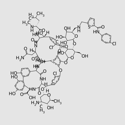 CN[C@H](CC(C)C)C(=O)NC1C(=O)N[C@@H](CC(N)=O)C(=O)N[C@H]2C(=O)N[C@H]3C(=O)N[C@H](C(=O)N[C@@H](C(=O)O)c4cc(O)cc(O)c4-c4cc3ccc4O)[C@H](O[C@H]3C[C@](C)(N)[C@@H](O)[C@H](C)O3)c3ccc(c(Cl)c3)Oc3cc2cc(c3O[C@@H]2O[C@H](CO)[C@@H](O[C@@H]3O[C@H](CNCc4ccc(C(=O)Nc5ccc(Cl)cc5)s4)[C@H](O)[C@H](O)[C@H]3O)[C@H](O)[C@H]2O)Oc2ccc(cc2Cl)[C@H]1O